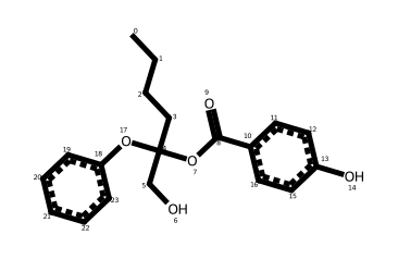 CCCCC(CO)(OC(=O)c1ccc(O)cc1)Oc1ccccc1